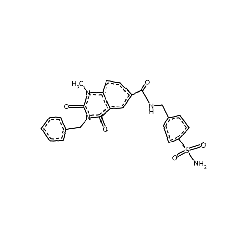 Cn1c(=O)n(Cc2ccccc2)c(=O)c2cc(C(=O)NCc3ccc(S(N)(=O)=O)cc3)ccc21